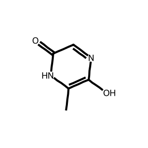 Cc1[nH]c(=O)cnc1O